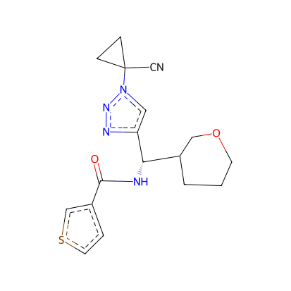 N#CC1(n2cc([C@@H](NC(=O)c3ccsc3)C3CCCOC3)nn2)CC1